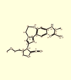 COCC[C@@H]1COC(=C=O)N1c1cn2c(n1)-c1ccc(N[C@@H](C)C(N)=O)cc1OCC2